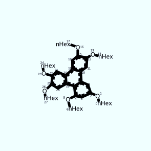 CCCCCCOc1cc(OCCCCCC)c2c(c1)c1cc(OCCCCCC)c(OCCCCCC)cc1c1cc(OCCCCCC)c(OCCCCCC)cc12